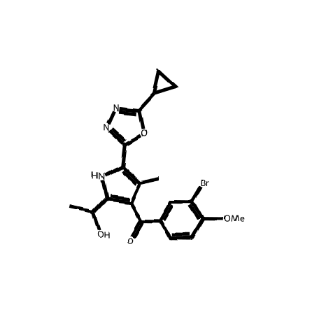 COc1ccc(C(=O)c2c(C(C)O)[nH]c(-c3nnc(C4CC4)o3)c2C)cc1Br